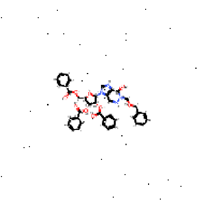 O=C(OC[C@H]1O[C@@H](n2cnc3c(=O)n(COCc4ccccc4)ncc32)[C@H](OC(=O)c2ccccc2)[C@@H]1OC(=O)c1ccccc1)c1ccccc1